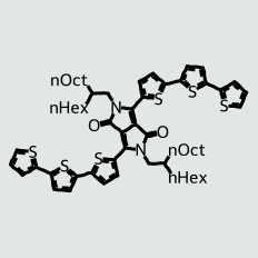 CCCCCCCCC(CCCCCC)CN1C(=O)C2=C(c3ccc(-c4ccc(-c5cccs5)s4)s3)N(CC(CCCCCC)CCCCCCCC)C(=O)C2=C1c1ccc(-c2ccc(-c3cccs3)s2)s1